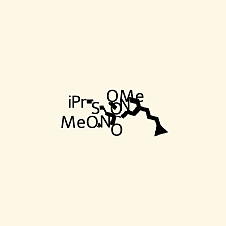 COCO[C@@]1(Cc2cc(CCCC3CC3)ccn2)C(=O)N(COC)[C@H]1CSCC(C)C